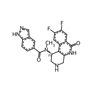 CN(C(=O)c1ccc2[nH]ncc2c1)[C@@H]1CNCc2[nH]c(=O)c3cc(F)c(F)cc3c21